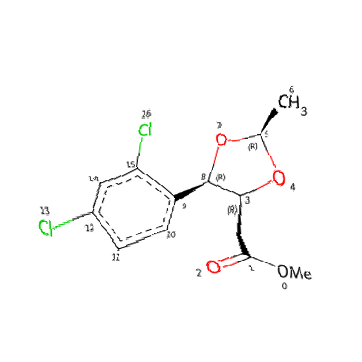 COC(=O)[C@@H]1O[C@H](C)O[C@@H]1c1ccc(Cl)cc1Cl